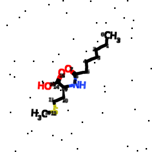 CCCCCCC(=O)N[C@@H](CCSC)C(=O)O